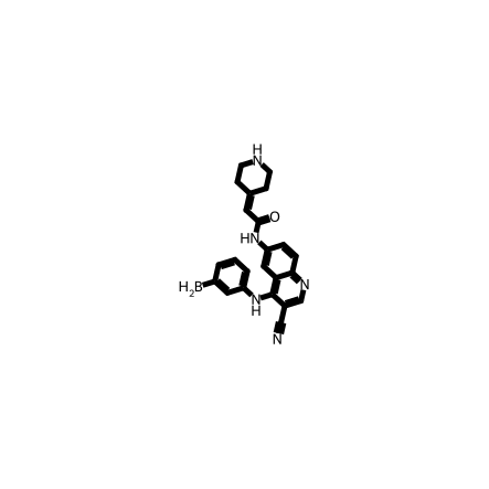 Bc1cccc(Nc2c(C#N)cnc3ccc(NC(=O)C=C4CCNCC4)cc23)c1